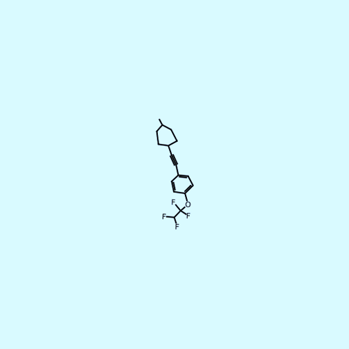 CC1CCC(C#Cc2ccc(OC(F)(F)C(F)F)cc2)CC1